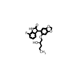 CCC[C@@H](O)COc1cc2c(cc1C1C(=O)Nc3c(F)cccc31)OCO2